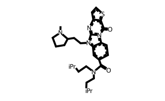 CC(C)CCN(CCC(C)C)C(=O)c1ccc2c(c1)n(CCC1CCCN1C)c1nc3ccsc3c(=O)n21